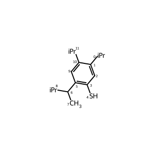 CC(C)c1cc(S)c(C(C)C(C)C)cc1C(C)C